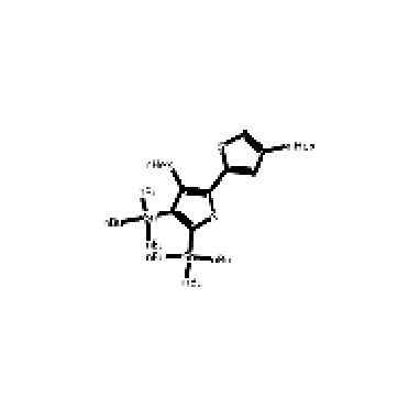 CCCCCCc1csc(-c2s[c]([Sn]([CH2]CCC)([CH2]CCC)[CH2]CCC)[c]([Sn]([CH2]CCC)([CH2]CCC)[CH2]CCC)c2CCCCCC)c1